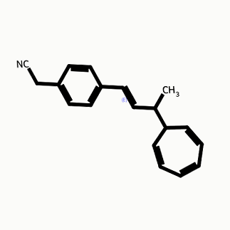 CC(/C=C/c1ccc(CC#N)cc1)C1C=CC=CC=C1